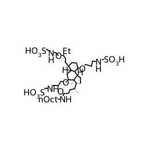 CCCCCCCCNC(=O)CC[C@@H](C)[C@H]1CC[C@H]2C3C(OCCCNCS(=O)(=O)O)CC[C@](C)(CC[C@H](CC)OCNCS(=O)(=O)O)[C@H]3C[C@H](OCCCNCS(=O)(=O)O)[C@]12C